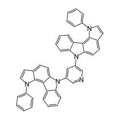 c1ccc(-n2ccc3ccc4c(c5ccccc5n4-c4cncc(-n5c6ccccc6c6c7c(ccc65)ccn7-c5ccccc5)c4)c32)cc1